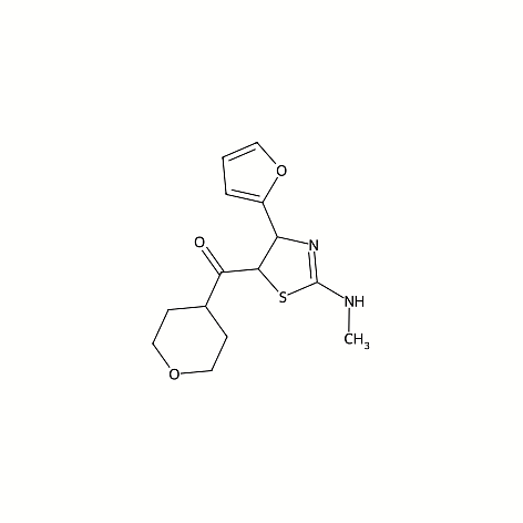 CNC1=NC(c2ccco2)C(C(=O)C2CCOCC2)S1